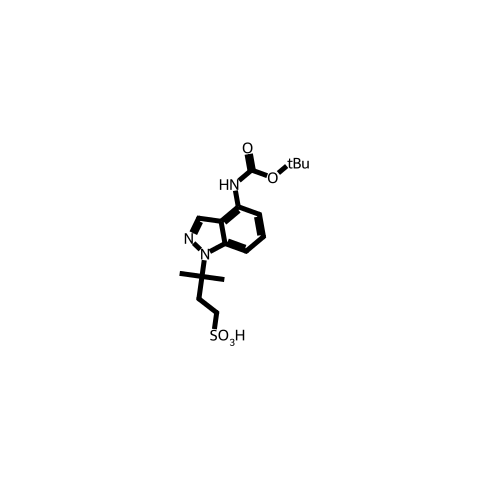 CC(C)(C)OC(=O)Nc1cccc2c1cnn2C(C)(C)CCS(=O)(=O)O